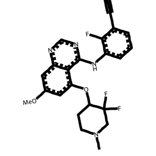 C#Cc1cccc(Nc2ncnc3cc(OC)cc(OC4CCN(C)CC4(F)F)c23)c1F